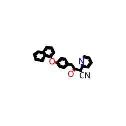 N#CC(C(=O)Cc1ccc(Oc2cccc3ccccc23)cc1)c1ccccn1